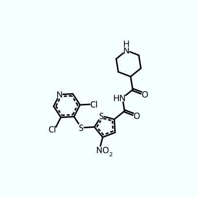 O=C(NC(=O)C1CCNCC1)c1cc([N+](=O)[O-])c(Sc2c(Cl)cncc2Cl)s1